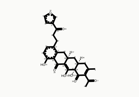 CC(=O)C1=C(C)C[C@@H]2C[C@@H]3Cc4c(CCC(=O)c5ccoc5)ccc(O)c4C(=O)C3=C(O)[C@]2(O)C1=O